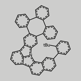 CC(C)(C)c1ccccc1-c1ccc2ccc3c4cccc5c6cc7c(cc6n(c3c2c1)c54)-c1ccccc1-c1ccccc1-c1ccccc1-7